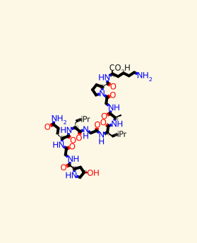 CC(C)C[C@@H](NC(=O)CNC(=O)[C@@H](CC(C)C)NC(=O)[C@@H](CCC(N)=O)NC(=O)CNC(=O)[C@H]1C[C@@H](O)CN1)C(=O)N[C@H](C)C(=O)NCC(=O)N1CCC[C@@H]1C(=O)N[C@H](CCCCN)C(=O)O